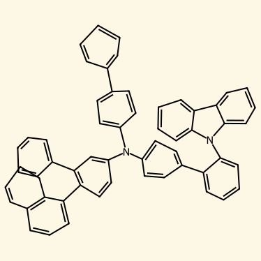 C1=Cc2cccc(-c3ccc(N(c4ccc(-c5ccccc5)cc4)c4ccc(-c5ccccc5-n5c6ccccc6c6ccccc65)cc4)cc3-c3ccccc3)c2CC1